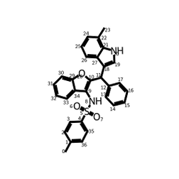 Cc1ccc(S(=O)(=O)Nc2c(C(c3ccccc3)c3c[nH]c4c(C)cccc34)oc3ccccc23)cc1